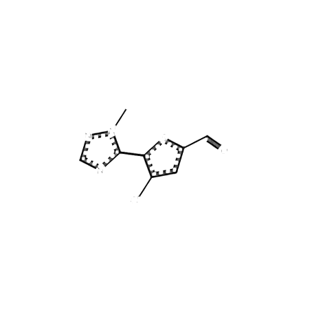 Cn1ncnc1-c1sc(C=O)cc1Cl